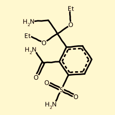 CCOC(CN)(OCC)c1cccc(S(N)(=O)=O)c1C(N)=O